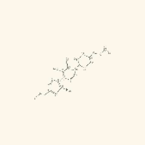 CCCc1ccc(-c2ccc(C3CCC(CCOC)CO3)c(F)c2F)c(F)c1